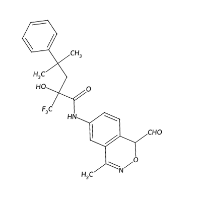 CC1=NOC(C=O)c2ccc(NC(=O)C(O)(CC(C)(C)c3ccccc3)C(F)(F)F)cc21